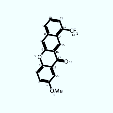 COc1ccc2oc3cc4cccc(C(F)(F)F)c4cc3c(=O)c2c1